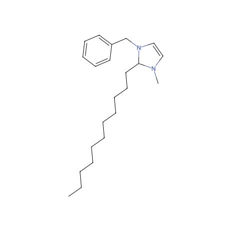 CCCCCCCCCCCC1N(C)C=CN1Cc1ccccc1